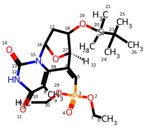 CCOP(=O)(/C=C1\c2c(C)c(=O)[nH]c(=O)n2C2CC(O[Si](C)(C)C(C)(C)C)[C@@H]1O2)OCC